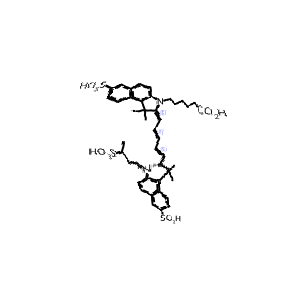 CC(CC[N+]1=C(/C=C/C=C/C=C2/N(CCCCCC(=O)O)c3ccc4cc(S(=O)(=O)O)ccc4c3C2(C)C)C(C)(C)c2c1ccc1cc(S(=O)(=O)O)ccc21)S(=O)(=O)O